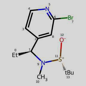 CC[C@@H](c1ccnc(Br)c1)N(C)[S@+]([O-])C(C)(C)C